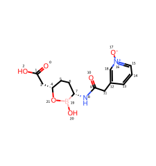 O=C(O)C[C@@H]1CC[C@H](NC(=O)Cc2ccc[n+]([O-])c2)B(O)O1